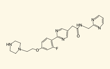 O=C(Cc1cnc(-c2ccc(OCCN3CCNCC3)cc2F)nc1)NCc1ncccn1